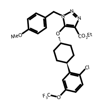 CCOC(=O)c1nnn(Cc2ccc(OC)cc2)c1O[C@H]1CC[C@H](c2cc(OC(F)(F)F)ccc2Cl)CC1